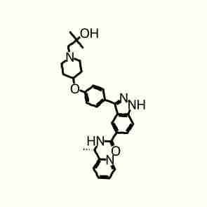 C[C@H](NC(=O)c1ccc2[nH]nc(-c3ccc(OC4CCN(CC(C)(C)O)CC4)cc3)c2c1)c1ccccn1